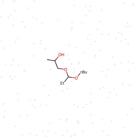 CCCCOC(CC)OCC(C)O